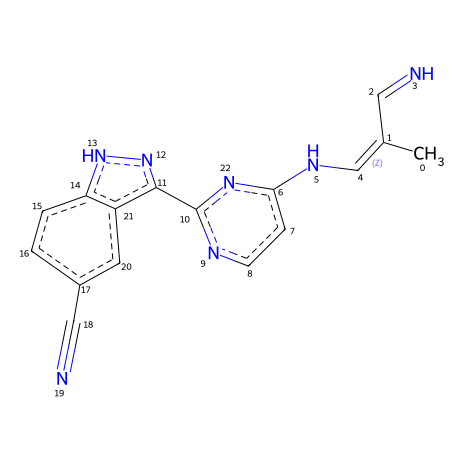 C/C(C=N)=C/Nc1ccnc(-c2n[nH]c3ccc(C#N)cc23)n1